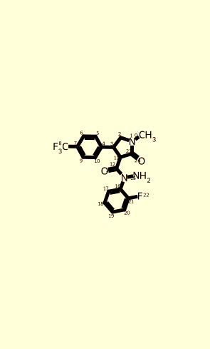 CN1CC(c2ccc(C(F)(F)F)cc2)C(C(=O)N(N)c2ccccc2F)C1=O